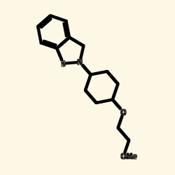 COCCOC1CCC(N2Cc3ccccc3S2)CC1